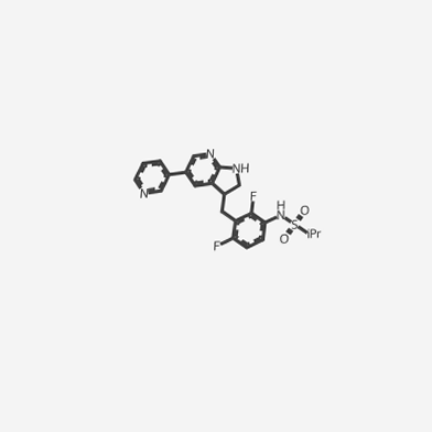 CC(C)S(=O)(=O)Nc1ccc(F)c(CC2CNc3ncc(-c4cccnc4)cc32)c1F